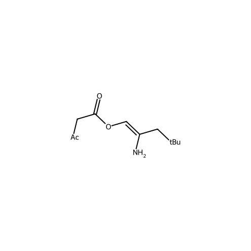 CC(=O)CC(=O)OC=C(N)CC(C)(C)C